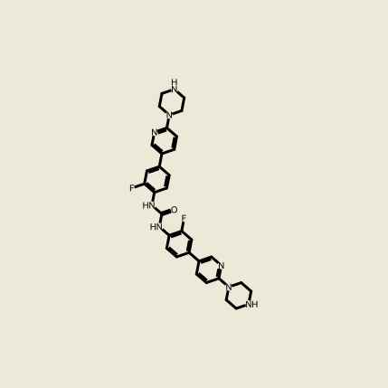 O=C(Nc1ccc(-c2ccc(N3CCNCC3)nc2)cc1F)Nc1ccc(-c2ccc(N3CCNCC3)nc2)cc1F